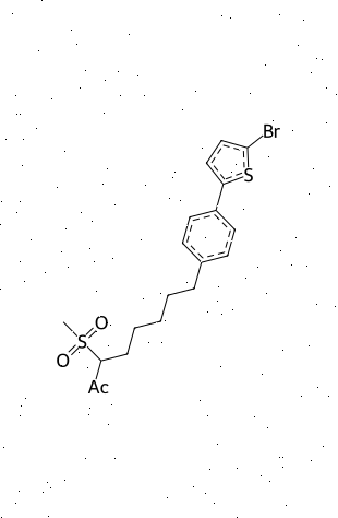 CC(=O)C(CCCCCc1ccc(-c2ccc(Br)s2)cc1)S(C)(=O)=O